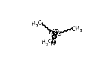 CCCCCCCCOC(=O)c1ccccc1C(=O)OCCCCCCCC.Cc1ncc[nH]1